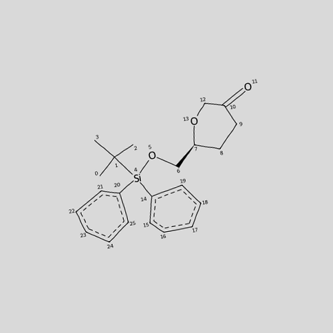 CC(C)(C)[Si](OC[C@@H]1CCC(=O)CO1)(c1ccccc1)c1ccccc1